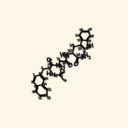 CC(=O)N[C@@H](Cc1ccc2ccccc2c1)C(=O)NCC(=O)N[C@@H](Cc1c[nH]c2ccccc12)C(N)=O